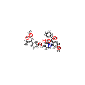 CCOC(=O)CC(c1cccc(OCC2CCN(c3cc(OC)ccc3C(O)C(=O)c3ccccc3)CC2)c1)C1CC1